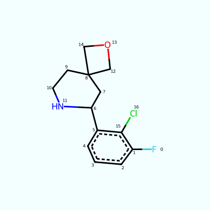 Fc1cccc(C2CC3(CCN2)COC3)c1Cl